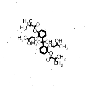 C=C(C)C(=O)Oc1cccc(C(C)(C)c2cccc(OC(=O)C(=C)C)c2OCC(C)O)c1OCC(C)O